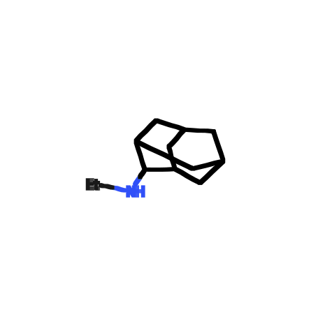 [CH2]CNC1C2CC3CC(C2)CC1C3